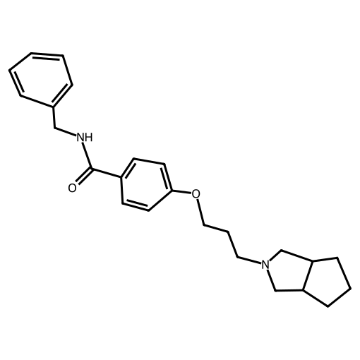 O=C(NCc1ccccc1)c1ccc(OCCCN2CC3CCCC3C2)cc1